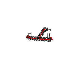 O=C(O)COCCOCCOCCOCCOCCOc1cc(OCCOCCOCCOCCOCCNC(=O)OCC2c3ccccc3-c3ccccc32)cc(OCCOCCOCCOCCOCCNC(=O)OCC2c3ccccc3-c3ccccc32)c1